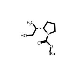 CC(C)(C)OC(=O)N1CCC[C@H]1C(CO)C(F)(F)F